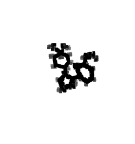 Nc1cccc(-c2nncn2C2CCC(F)(F)CC2)n1